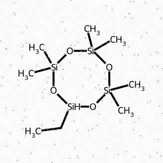 CC[SiH]1O[Si](C)(C)O[Si](C)(C)O[Si](C)(C)O1